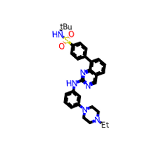 CCN1CCN(c2cccc(Nc3ncc4cccc(-c5ccc(S(=O)(=O)NC(C)(C)C)cc5)c4n3)c2)CC1